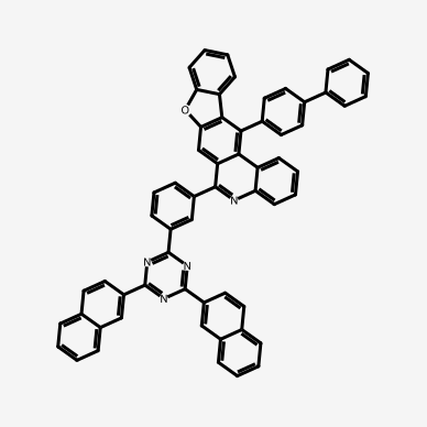 c1ccc(-c2ccc(-c3c4c(cc5c(-c6cccc(-c7nc(-c8ccc9ccccc9c8)nc(-c8ccc9ccccc9c8)n7)c6)nc6ccccc6c35)oc3ccccc34)cc2)cc1